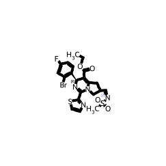 CCOC(=O)C1=C2CC(/C=N\S(C)(=O)=O)CN2C(c2nccs2)=N[C@H]1c1ccc(F)cc1Br